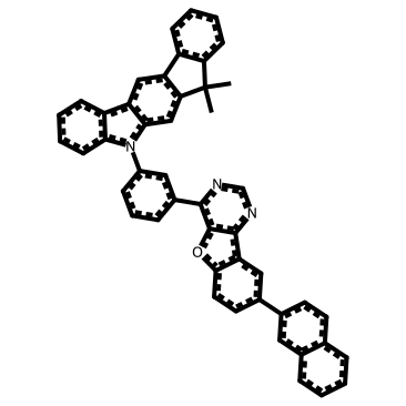 CC1(C)c2ccccc2-c2cc3c4ccccc4n(-c4cccc(-c5ncnc6c5oc5ccc(-c7ccc8ccccc8c7)cc56)c4)c3cc21